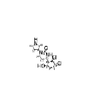 O=C1N[C@@H](c2c(O)ccc(Cl)c2Cl)CCN1[C@@H]1CCNC1